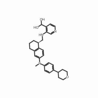 CN(c1ccc(C2CCOCC2)cc1)c1ccc2c(c1)CCC[C@H]2CNc1cnccc1C(O)O